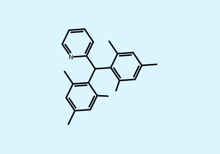 Cc1cc(C)c(C(c2ccccn2)c2c(C)cc(C)cc2C)c(C)c1